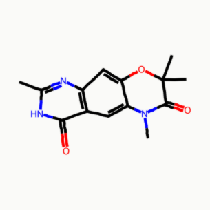 Cc1nc2cc3c(cc2c(=O)[nH]1)N(C)C(=O)C(C)(C)O3